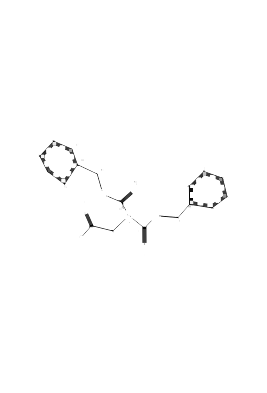 O=C(O)CN(C(=O)OCc1ccccc1)C(=O)OCc1ccccc1